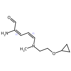 CN(/C=C\C=C(\N)C=O)CCOC1CC1